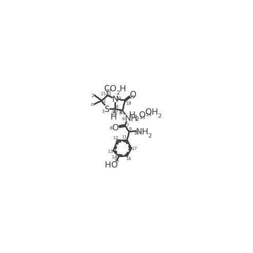 CC1(C)S[C@@H]2[C@H](NC(=O)C(N)c3ccc(O)cc3)C(=O)N2[C@H]1C(=O)O.O.O